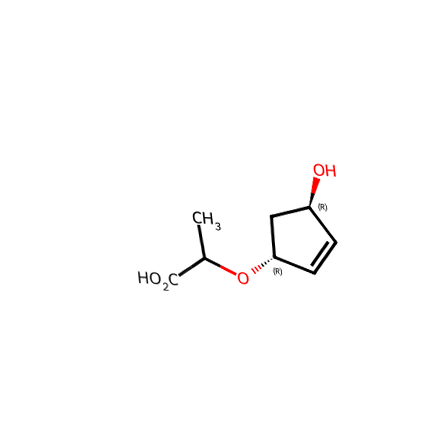 CC(O[C@H]1C=C[C@H](O)C1)C(=O)O